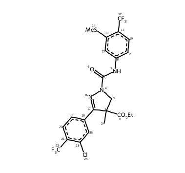 CCOC(=O)C1(C)CN(C(=O)Nc2ccc(C(F)(F)F)c(SC)c2)N=C1c1ccc(C(F)(F)F)c(Cl)c1